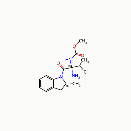 COC(=O)N[C@](N)(C(=O)N1c2ccccc2C[C@H]1C)C(C)C